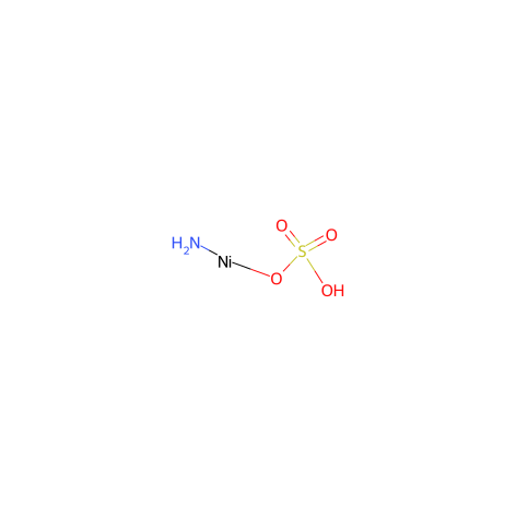 [NH2][Ni][O]S(=O)(=O)O